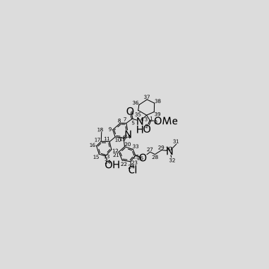 COC(=O)C1(NC(=O)c2ccc(-c3cc(O)ccc3C)c(-c3ccc(Cl)c(OCCCN(C)C)c3)n2)CCCCC1